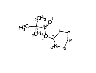 CC(C)(C)C(=O)OC1CCCC[N]1